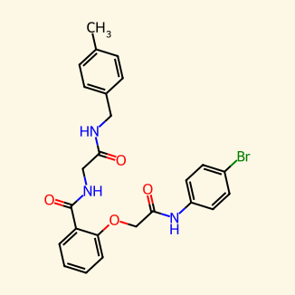 Cc1ccc(CNC(=O)CNC(=O)c2ccccc2OCC(=O)Nc2ccc(Br)cc2)cc1